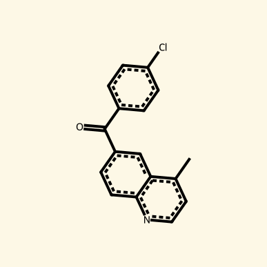 Cc1ccnc2ccc(C(=O)c3ccc(Cl)cc3)cc12